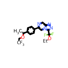 CCOC(F)(F)c1nnc2cnc(-c3ccc([C@@H](C)OCC(F)(F)F)cc3)cn12